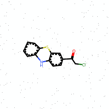 O=C(CCl)c1ccc2c(c1)Sc1ccccc1N2